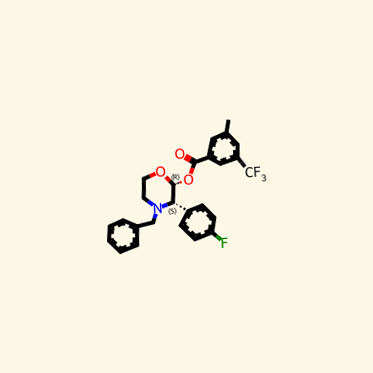 Cc1cc(C(=O)O[C@H]2OCCN(Cc3ccccc3)[C@H]2c2ccc(F)cc2)cc(C(F)(F)F)c1